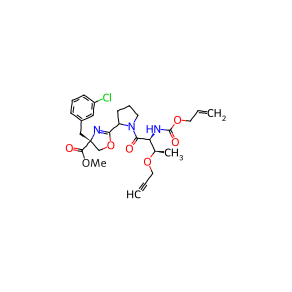 C#CCO[C@H](C)[C@H](NC(=O)OCC=C)C(=O)N1CCCC1C1=N[C@@](Cc2cccc(Cl)c2)(C(=O)OC)CO1